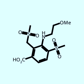 COCCNc1c(S(C)(=O)=O)ccc(C(=O)O)c1CS(C)(=O)=O